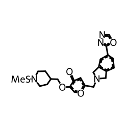 CSN1CCC(COc2coc(CN3Cc4ccc(-c5nnco5)cc4C3)cc2=O)CC1